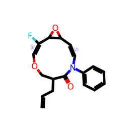 C=CCC1CO/C=C(/F)C2OC2/C=C\N(c2ccccc2)C1=O